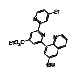 CCOC(=O)c1cc(-c2cc(CC)ccn2)nc(-c2cc(C(C)(C)C)cc3cccnc23)c1